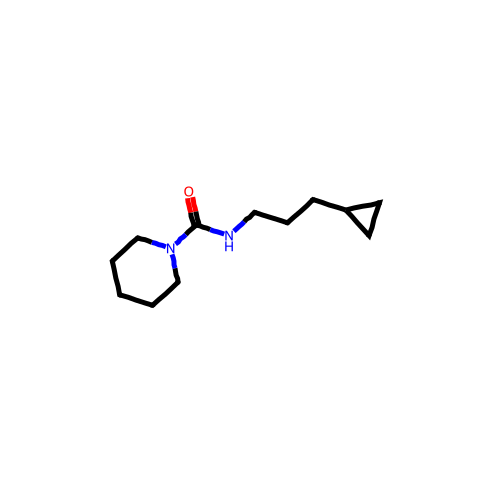 O=C(NCCCC1CC1)N1CCCCC1